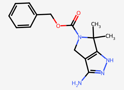 CC1(C)c2[nH]nc(N)c2CN1C(=O)OCc1ccccc1